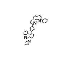 c1ccc(-c2ccc3ccc4ccc(-c5ccc(-c6cccc7c(-c8ccccn8)nc8ccccc8c67)cc5)nc4c3n2)cc1